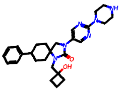 O=C1N(c2cnc(N3CCNCC3)nc2)CC2(CCC(c3ccccc3)CC2)N1CC1(O)CCC1